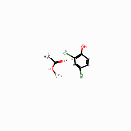 COC(C)=O.Oc1ccc(Cl)cc1Cl